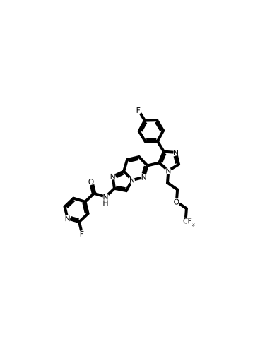 O=C(Nc1cn2nc(-c3c(-c4ccc(F)cc4)ncn3CCOCC(F)(F)F)ccc2n1)c1ccnc(F)c1